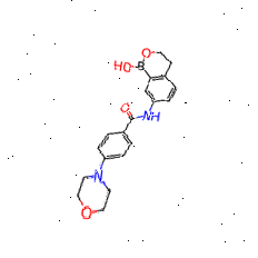 O=C(Nc1ccc2c(c1)B(O)OCC2)c1ccc(N2CCOCC2)cc1